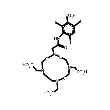 O=C(O)CN1CCN(CC(=O)O)CCN(CC(=O)Nc2c(I)cc(I)c(C(=O)O)c2I)CCN(CC(=O)O)CC1